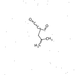 C=C(C)CC([C]=O)=C=C=O